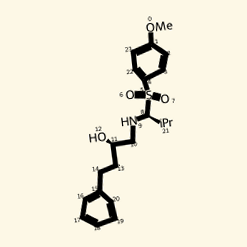 COc1ccc(S(=O)(=O)[C@H](NC[C@H](O)[CH]Cc2ccccc2)C(C)C)cc1